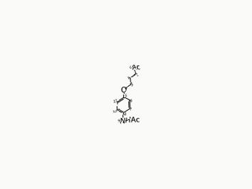 CC(=O)CCCOc1ccc(NC(C)=O)cc1